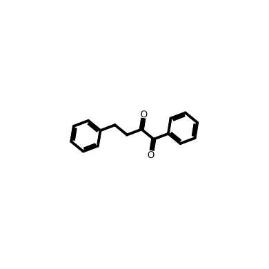 O=C(CCc1ccccc1)C(=O)c1ccccc1